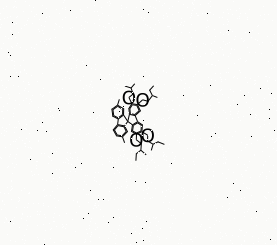 CCC(C)COc1cc2c(cc1OCC(C)C)C1(c3cc(C)ccc3-c3ccc(C)cc31)c1cc(OCC(C)CC)c(OCC(C)CC)cc1-2